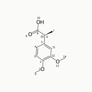 COc1ccc([C@H](C)C(=O)O)cc1OC